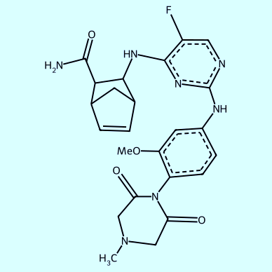 COc1cc(Nc2ncc(F)c(NC3C4C=CC(C4)C3C(N)=O)n2)ccc1N1C(=O)CN(C)CC1=O